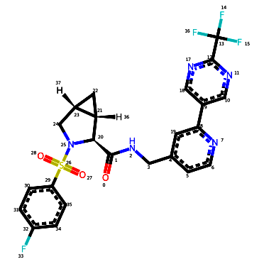 O=C(NCc1ccnc(-c2cnc(C(F)(F)F)nc2)c1)[C@@H]1[C@H]2C[C@H]2CN1S(=O)(=O)c1ccc(F)cc1